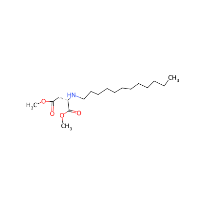 CCCCCCCCCCCCN[C@@H](CC(=O)OC)C(=O)OC